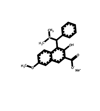 COc1ccc2c(C(c3ccccc3)N(C)C)c(O)c(C(=O)[O-])cc2c1.[Na+]